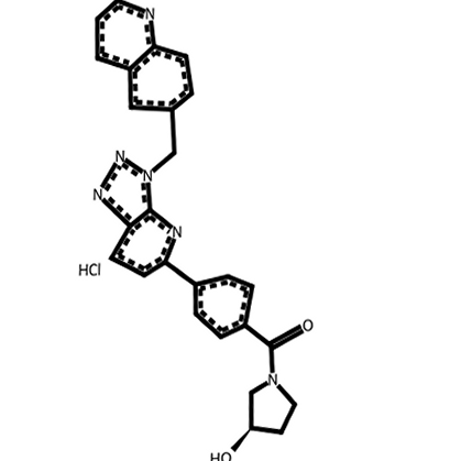 Cl.O=C(c1ccc(-c2ccc3nnn(Cc4ccc5ncccc5c4)c3n2)cc1)N1CC[C@@H](O)C1